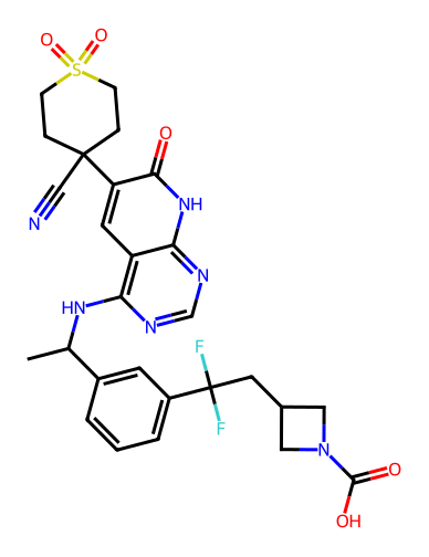 CC(Nc1ncnc2[nH]c(=O)c(C3(C#N)CCS(=O)(=O)CC3)cc12)c1cccc(C(F)(F)CC2CN(C(=O)O)C2)c1